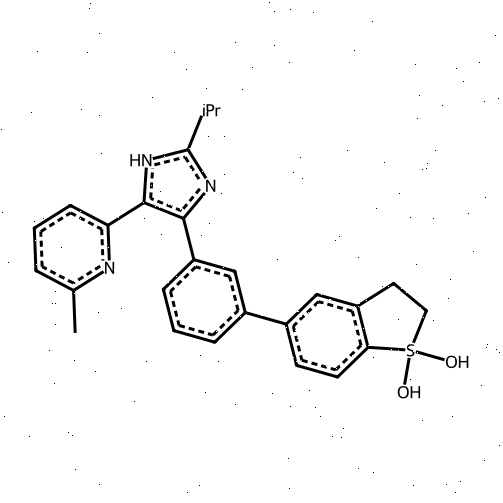 Cc1cccc(-c2[nH]c(C(C)C)nc2-c2cccc(-c3ccc4c(c3)CCS4(O)O)c2)n1